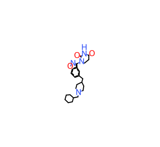 O=C1CCN(c2noc3ccc(CC4CCN(CC5CCCCC5)CC4)cc23)C(=O)N1